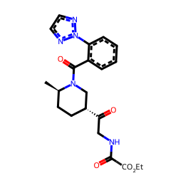 CCOC(=O)C(=O)NCC(=O)[C@@H]1CC[C@@H](C)N(C(=O)c2ccccc2-n2nccn2)C1